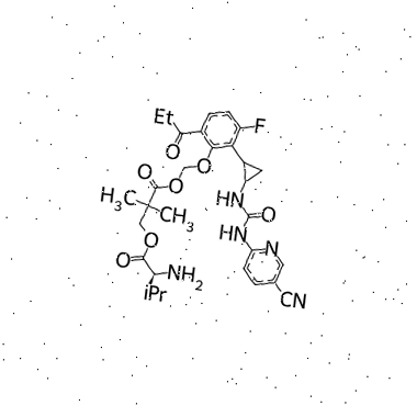 CCC(=O)c1ccc(F)c(C2CC2NC(=O)Nc2ccc(C#N)cn2)c1OCOC(=O)C(C)(C)COC(=O)[C@@H](N)C(C)C